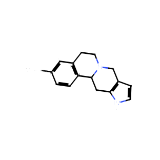 COc1ccc2c(c1)CCN1Cc3cc[nH]c3CC21